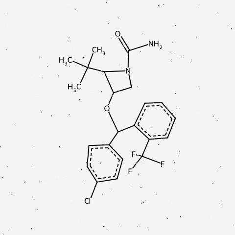 CC(C)(C)C1C(OC(c2ccc(Cl)cc2)c2ccccc2C(F)(F)F)CN1C(N)=O